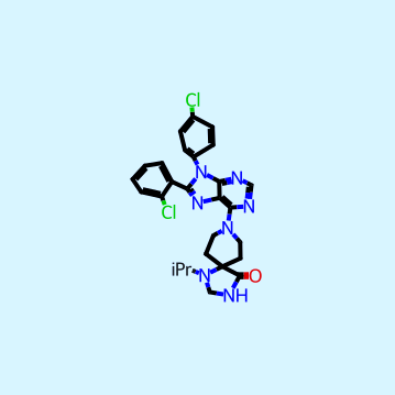 CC(C)N1CNC(=O)C12CCN(c1ncnc3c1nc(-c1ccccc1Cl)n3-c1ccc(Cl)cc1)CC2